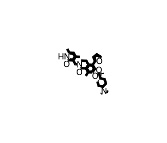 Cc1cc(C)c(CN2CCc3c(c(C)c4c(c3-c3ccco3)O[C@](C)([C@H]3CC[C@H](N(C)C)CC3)O4)C2=O)c(=O)[nH]1